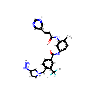 Cc1ccc(NC(=O)c2ccc(CN3CCC(NN)C3)c(C(F)(F)F)c2)cc1NC(=O)C=Cc1cncnc1